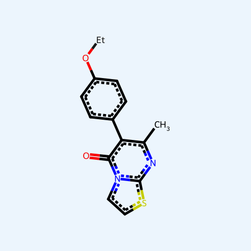 CCOc1ccc(-c2c(C)nc3sccn3c2=O)cc1